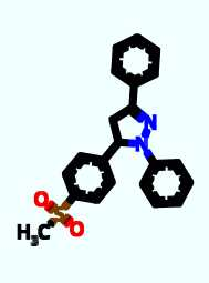 CS(=O)(=O)c1ccc(C2CC(c3ccccc3)=NN2c2ccccc2)cc1